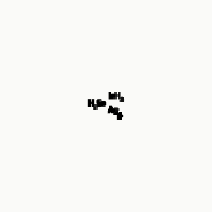 [Ag].[InH3].[SeH2].[Tl]